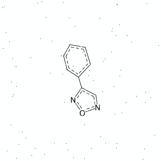 [c]1cccc(-c2cnon2)c1